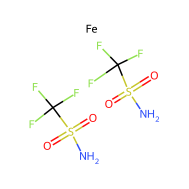 NS(=O)(=O)C(F)(F)F.NS(=O)(=O)C(F)(F)F.[Fe]